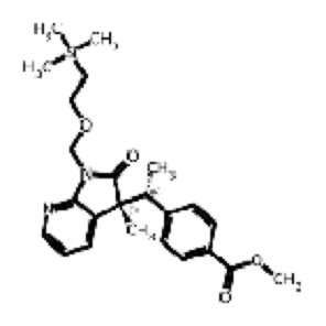 COC(=O)c1ccc([C@@H](C)[C@@]2(C)C(=O)N(COCC[Si](C)(C)C)c3ncccc32)cc1